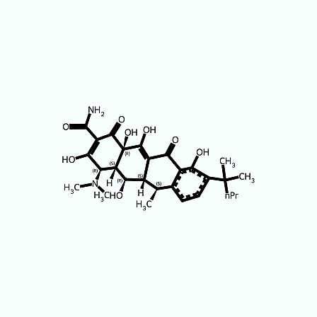 CCCC(C)(C)c1ccc2c(c1O)C(=O)C1=C(O)[C@@]3(O)C(=O)C(C(N)=O)=C(O)[C@H](N(C)C)[C@H]3[C@H](O)[C@H]1[C@@H]2C